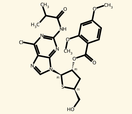 COc1ccc(C(=O)O[C@@H]2C[C@@H](CO)S[C@H]2n2cnc3c(Cl)nc(NC(=O)C(C)C)nc32)c(OC)c1